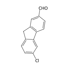 O=Cc1ccc2c(c1)Cc1ccc(Cl)cc1-2